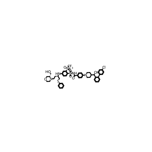 O=C(NS(=O)(=O)c1ccc(N[C@H](CCN2CCOC[C@@H]2CO)CSc2ccccc2)cc1S(=O)(=O)C(F)(F)F)c1ccc(N2CCC(C(O)c3ccccc3-c3ccc(Cl)cc3)CC2)cc1